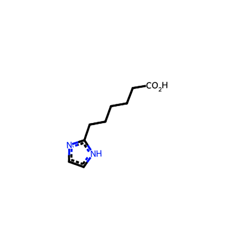 O=C(O)CCCCCc1ncc[nH]1